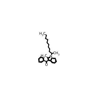 CCCCCCCCCC(C)n1c(C)c(C(=O)c2ccccc2)c2ccccc21